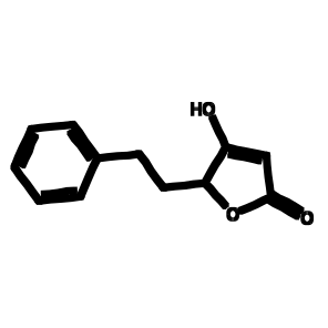 O=C1C=C(O)C(CCc2ccccc2)O1